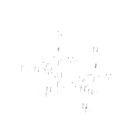 COc1cc2c(NC3CCN(C(C)C)CC3)nc(N3CCC(F)(F)CC3)nc2cc1C#CCCN1CCCC1.COc1cc2c(NC3CCN(C(C)C)CC3)nc(N3CCC(F)(F)CC3)nc2cc1C#CCCN1CCCC1